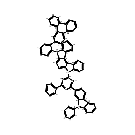 c1ccc(-c2nc(-c3ccc4c5ccccc5n(-c5ccccc5)c4c3)nc(-n3c4ccccc4c4c5c6ccccc6n(-c6ccccc6-c6ccc7c8ccccc8c8ccccc8c7c6)c5ccc43)n2)cc1